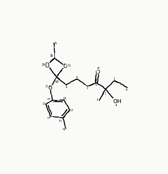 CCC(C)(O)C(=O)CCCC1(Oc2ccc(C)cc2)OC(C)O1